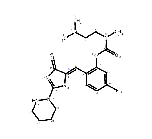 CN(C)CCN(C)C(=O)Oc1cc(F)ccc1/C=C1\SC(N2CCCCN2)=NC1=O